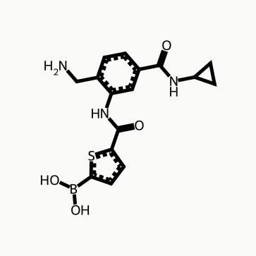 NCc1ccc(C(=O)NC2CC2)cc1NC(=O)c1ccc(B(O)O)s1